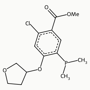 COC(=O)c1cc(P(C)C)c(OC2CCOC2)cc1Cl